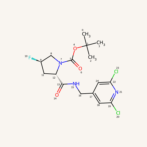 CC(C)(C)OC(=O)N1C[C@H](F)C[C@H]1C(=O)NCc1cc(Cl)nc(Cl)c1